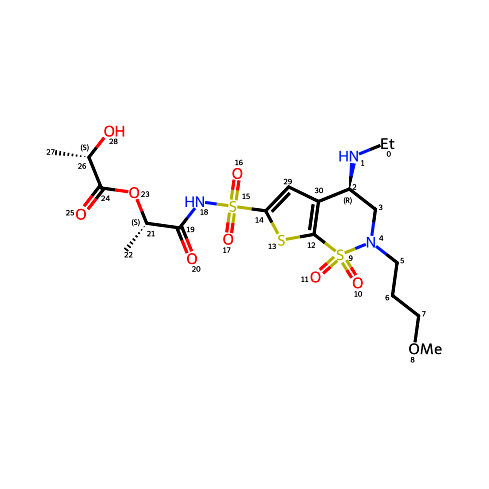 CCN[C@H]1CN(CCCOC)S(=O)(=O)c2sc(S(=O)(=O)NC(=O)[C@H](C)OC(=O)[C@H](C)O)cc21